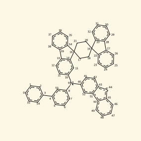 c1ccc(-c2cccc(N(c3ccc4c(c3)C3(CCC5(CC3)c3ccccc3-c3ccccc35)c3ccccc3-4)c3ccc4sc5ccccc5c4c3)c2)cc1